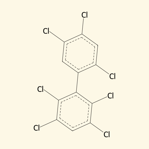 Clc1cc(Cl)c(-c2c(Cl)c(Cl)cc(Cl)c2Cl)cc1Cl